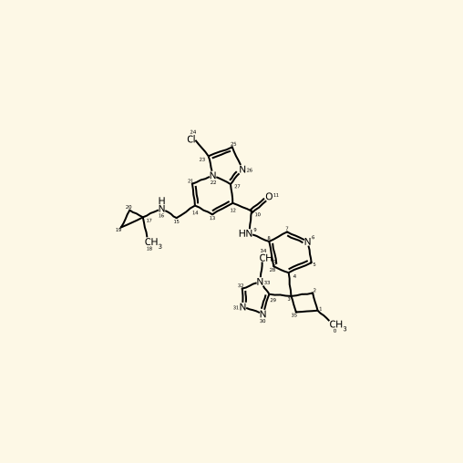 CC1CC(c2cncc(NC(=O)c3cc(CNC4(C)CC4)cn4c(Cl)cnc34)c2)(c2nncn2C)C1